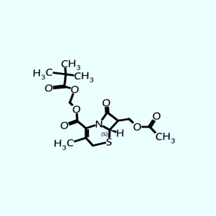 CC(=O)OCC1C(=O)N2C(C(=O)OCOC(=O)C(C)(C)C)=C(C)CS[C@@H]12